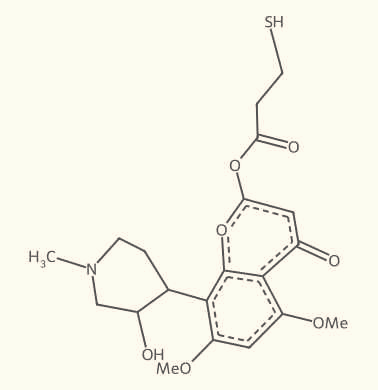 COc1cc(OC)c2c(=O)cc(OC(=O)CCS)oc2c1C1CCN(C)CC1O